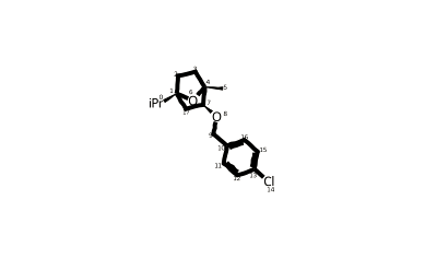 CC(C)[C@@]12CC[C@@](C)(O1)[C@@H](OCc1ccc(Cl)cc1)C2